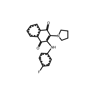 O=C1C(Nc2ccc(F)cc2)=C(N2CCCC2)C(=O)c2ccccc21